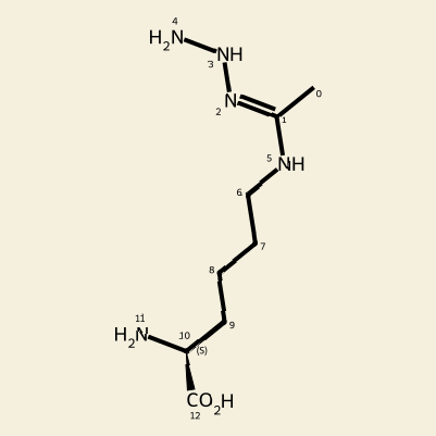 CC(=NNN)NCCCC[C@H](N)C(=O)O